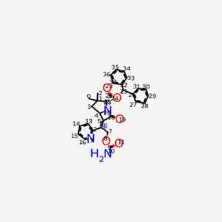 CC1(C)CC2/C(=C(/COC(N)=O)c3ccccn3)C(=O)N2[C@H]1C(=O)OC(c1ccccc1)c1ccccc1